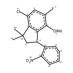 COc1c(F)cc(Cl)c2c1N(c1ccccc1[N+](=O)[O-])CC2(C)C